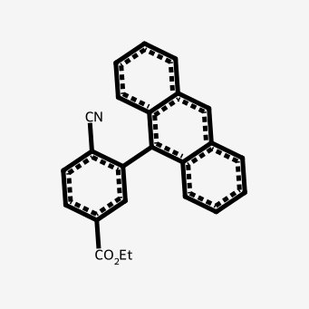 CCOC(=O)c1ccc(C#N)c(-c2c3ccccc3cc3ccccc23)c1